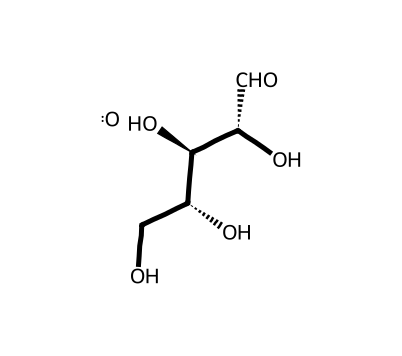 O=C[C@H](O)[C@H](O)[C@H](O)CO.[O]